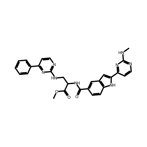 CNc1nccc(-c2cc3cc(C(=O)NC(CNc4nccc(-c5ccccc5)n4)C(=O)OC)ccc3[nH]2)n1